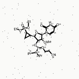 CCOP(=O)(OCC)C1CC1[C@H]1O[C@@H](n2ccc(=O)[nH]c2=O)[C@@H](OC)C1OP(OCCC#N)N(C(C)C)C(C)C